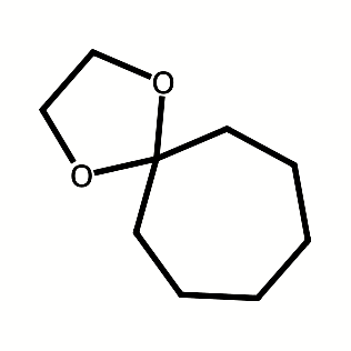 C1CCCC2(CC1)OCCO2